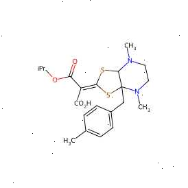 Cc1ccc(CC23SC(=C(C(=O)O)C(=O)OC(C)C)SC2N(C)CCN3C)cc1